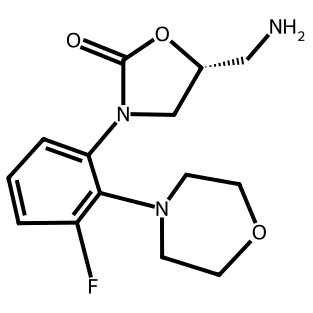 NC[C@@H]1CN(c2cccc(F)c2N2CCOCC2)C(=O)O1